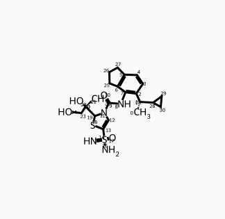 C[C@H](c1ccc2c(c1NC(=O)N1C=C(S(=N)(N)=O)SC1[C@@](C)(O)CO)CCC2)C1CC1